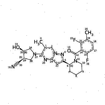 Cc1cn2nc([C@@H]3CCCCN3C(=O)c3c(F)ccc(C)c3F)cc2nc1N1C[C@@H](C#N)[C@@H](O)C1